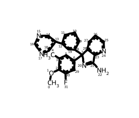 COc1c(C)cc(C2(c3cccc(-c4cncnc4)c3)N=C(N)c3ncccc32)cc1F